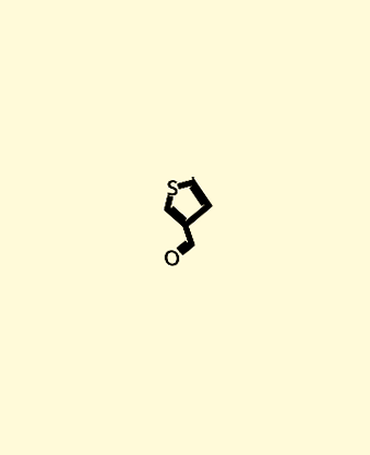 O=Cc1c[c]sc1